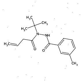 C=CCC(=O)N(NC(=O)c1cccc(C)c1)C(C)(C)C